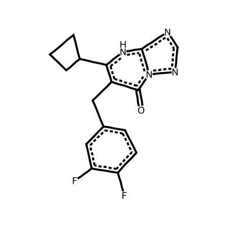 O=c1c(Cc2ccc(F)c(F)c2)c(C2CCC2)[nH]c2ncnn12